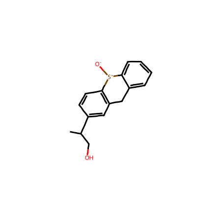 CC(CO)c1ccc2c(c1)Cc1ccccc1[S+]2[O-]